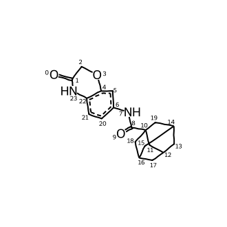 O=C1COc2cc(NC(=O)C34CC5CC(CC(C5)C3)C4)ccc2N1